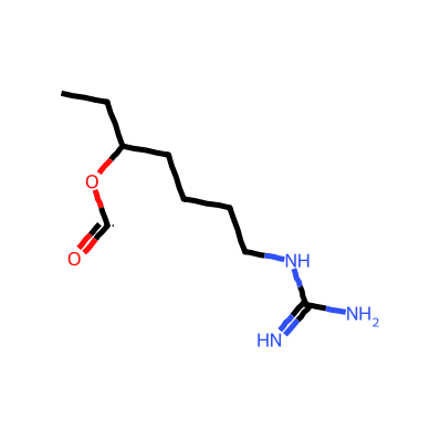 CCC(CCCCNC(=N)N)O[C]=O